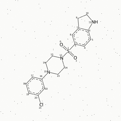 O=S(=O)(c1ccc2c(c1)CCN2)N1CCN(c2cccc(Cl)c2)CC1